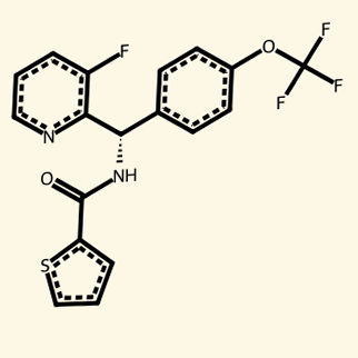 O=C(N[C@@H](c1ccc(OC(F)(F)F)cc1)c1ncccc1F)c1cccs1